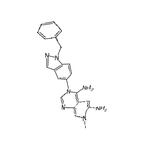 CN1C=C2N=CN(c3ccc4c(cnn4Cc4ccccc4)c3)C(N)=C2C=C1N